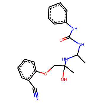 CC(NC(=O)Nc1ccccc1)NC(C)(O)COc1ccccc1C#N